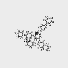 C1=CC(c2nc(-c3ccc(-c4ccccc4)cc3)nc(-c3ccc(-c4ccccc4)c4oc5ccccc5c34)n2)Cc2ccccc21